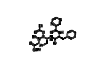 CCC(=O)OB([C@H](CC(C)C)NC(=O)[C@H](Cc1ccccc1)NC(=O)c1cnccn1)N(CC)CC(=O)OC